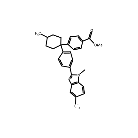 COC(=O)c1ccc(C2(c3ccc(-c4nc5cc(C(F)(F)F)ccc5n4C)cc3)CCC(C(F)(F)F)CC2)cc1